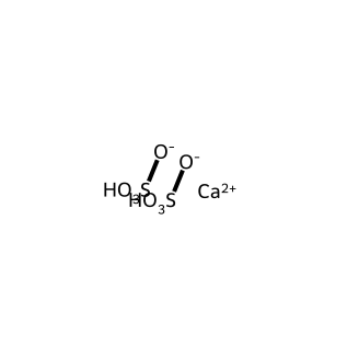 O=S(=O)([O-])O.O=S(=O)([O-])O.[Ca+2]